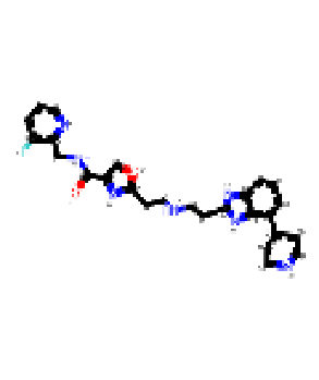 O=C(NCc1ncccc1F)c1coc(CCNCCc2nc3c(-c4ccncc4)cccc3[nH]2)n1